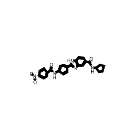 O=C(Nc1ccc(-c2nc3cc(C(=O)NC4CCCC4)ccc3[nH]2)cc1)c1ccc([N+](=O)[O-])cc1